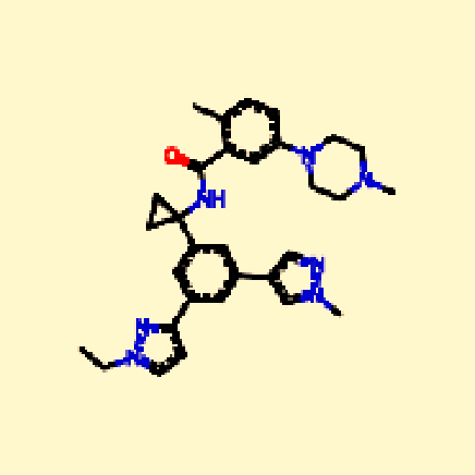 CCn1ccc(-c2cc(-c3cnn(C)c3)cc(C3(NC(=O)c4cc(N5CCN(C)CC5)ccc4C)CC3)c2)n1